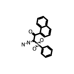 [N-]=[N+]=C(C(=O)c1cccc2ccccc12)S(=O)(=O)c1ccccc1